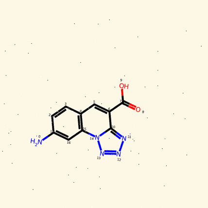 Nc1ccc2cc(C(=O)O)c3nnnn3c2c1